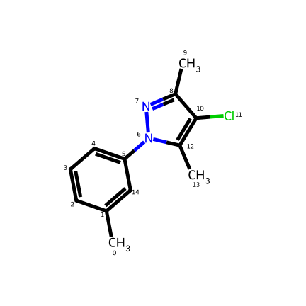 Cc1cccc(-n2nc(C)c(Cl)c2C)c1